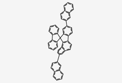 c1ccc2c(c1)-c1ccccc1C21c2cc(-c3ccc4ccccc4c3)ccc2-c2ccc3cc(-c4ccc5ccccc5c4)ccc3c21